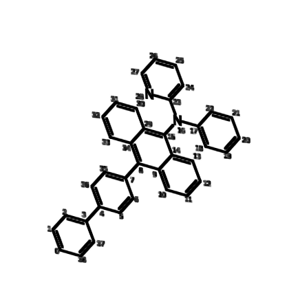 c1ccc(-c2ccc(-c3c4ccccc4c(N(c4ccccc4)c4ccccn4)c4ccccc34)cc2)cc1